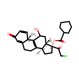 C[C@]12C=CC(=O)C=C1CCC1=C2C(O)C[C@@]2(C)[C@H]1CC[C@]2(OC(=O)C1CCCCC1)C(=O)CCl